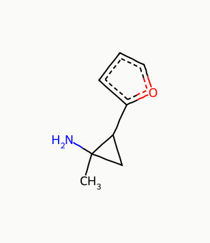 CC1(N)CC1c1ccco1